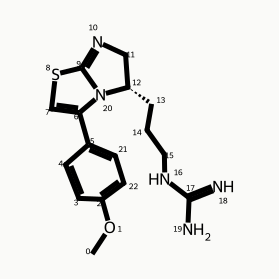 COc1ccc(C2=CSC3=NC[C@H](CCCNC(=N)N)N23)cc1